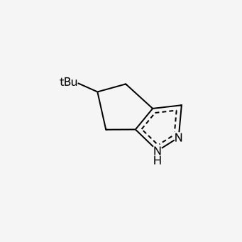 CC(C)(C)C1Cc2cn[nH]c2C1